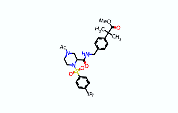 COC(=O)C(C)(C)c1ccc(CNC(=O)C2CN(C(C)=O)CCN2S(=O)(=O)c2ccc(C(C)C)cc2)cc1